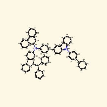 c1ccc(C(=C2c3ccccc3-c3ccc(N(c4ccc(-c5ccc6c(c5)c5ccccc5n6-c5ccc(-c6ccccc6)cc5)cc4)c4cc5ccccc5c5ccccc45)cc32)c2ccccc2)cc1